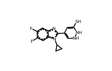 Fc1cc2nc(C3=CNNC(S)=C3)n(C3CC3)c2cc1F